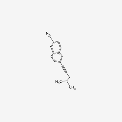 CC(C)CC#Cc1ccc2cc(C#N)ccc2c1